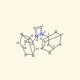 c1cn(C23CC4CC(CC(C4)C2)C3)n1C12CC3CC(CC(C3)C1)C2